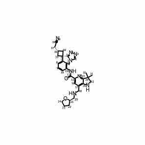 Cn1cnnc1[C@]1(c2cccc(NC(=O)c3cc(CNC[C@H]4CCCO4)c4c(n3)C(C)(C)CN4)c2)C[C@H](CC#N)C1